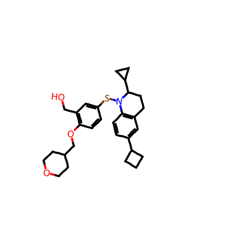 OCc1cc(SN2c3ccc(C4CCC4)cc3CCC2C2CC2)ccc1OCC1CCOCC1